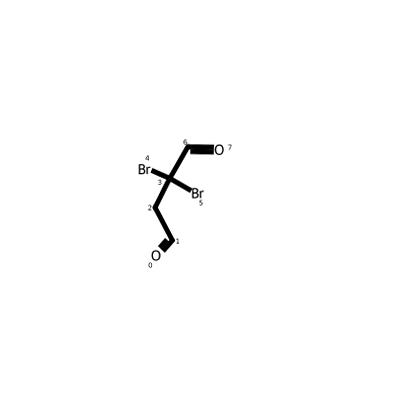 O=CCC(Br)(Br)C=O